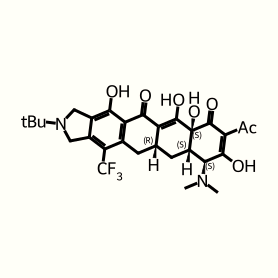 CC(=O)C1=C(O)[C@@H](N(C)C)[C@@H]2C[C@@H]3Cc4c(c(O)c5c(c4C(F)(F)F)CN(C(C)(C)C)C5)C(=O)C3=C(O)[C@]2(O)C1=O